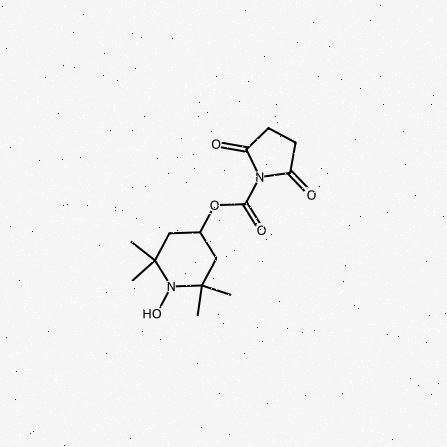 CC1(C)CC(OC(=O)N2C(=O)CCC2=O)CC(C)(C)N1O